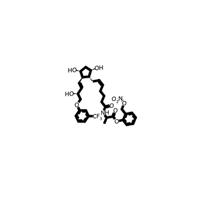 CC(NC(=O)CCC/C=C\C[C@@H]1[C@@H](/C=C/[C@@H](O)COc2cccc(C(F)(F)F)c2)[C@H](O)C[C@@H]1O)C(=O)Oc1ccccc1CO[N+](=O)[O-]